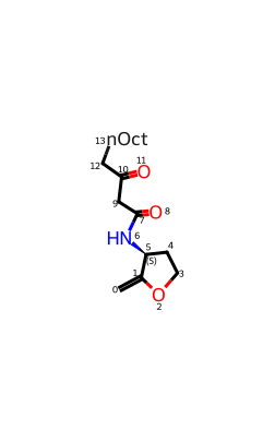 C=C1OCC[C@@H]1NC(=O)CC(=O)CCCCCCCCC